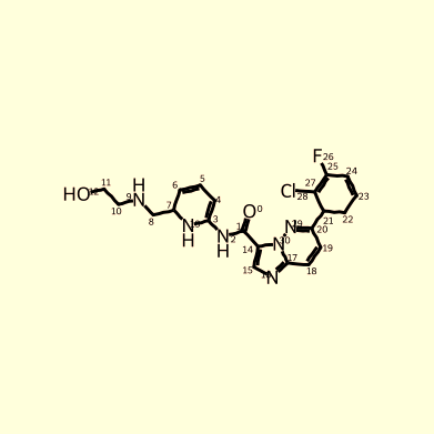 O=C(NC1=CC=CC(CNCCO)N1)c1cnc2ccc(C3CC=CC(F)=C3Cl)nn12